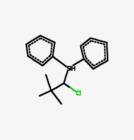 CC(C)(C)C(Cl)[SiH](c1ccccc1)c1ccccc1